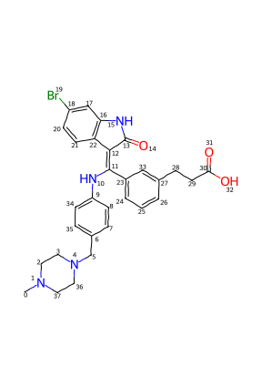 CN1CCN(Cc2ccc(NC(=C3C(=O)Nc4cc(Br)ccc43)c3cccc(CCC(=O)O)c3)cc2)CC1